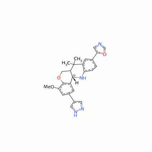 COc1cc(-c2cn[nH]c2)cc2c1OCC1[C@@H]2Nc2ccc(-c3cnco3)cc2C1(C)C